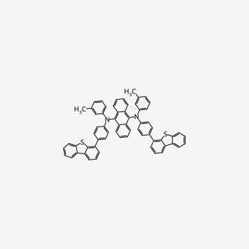 Cc1cccc(N(c2ccc(-c3cccc4c3sc3ccccc34)cc2)c2c3ccccc3c(N(c3ccc(-c4cccc5c4sc4ccccc45)cc3)c3cccc(C)c3)c3ccccc23)c1